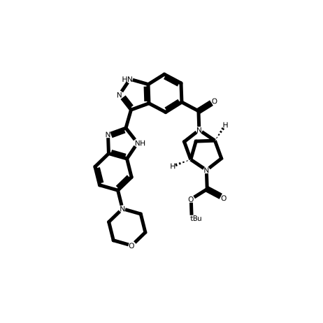 CC(C)(C)OC(=O)N1C[C@H]2C[C@@H]1CN2C(=O)c1ccc2[nH]nc(-c3nc4ccc(N5CCOCC5)cc4[nH]3)c2c1